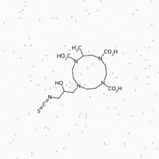 CC1CN(C(=O)O)CCN(C(=O)O)CCN(CC(O)CN=C=S)CCN1C(=O)O